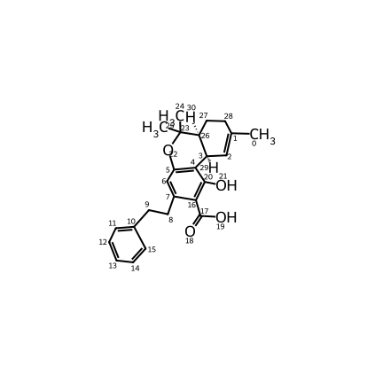 CC1=C[C@H]2c3c(cc(CCc4ccccc4)c(C(=O)O)c3O)OC(C)(C)[C@H]2CC1